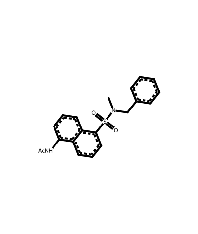 CC(=O)Nc1cccc2c(S(=O)(=O)N(C)Cc3ccccc3)cccc12